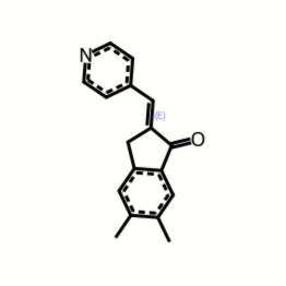 Cc1cc2c(cc1C)C(=O)/C(=C/c1ccncc1)C2